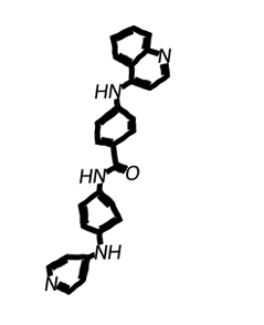 O=C(Nc1ccc(Nc2ccncc2)cc1)c1ccc(Nc2ccnc3ccccc23)cc1